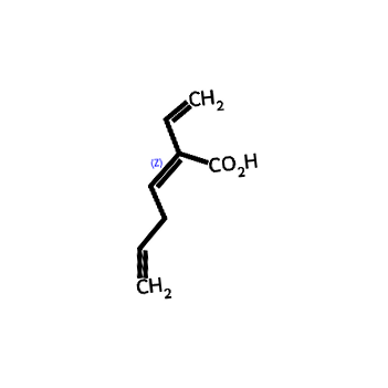 C=CC/C=C(/C=C)C(=O)O